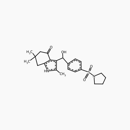 Cc1[nH]c2c(c1C(O)c1ccc(S(=O)(=O)N3CCCC3)cc1)C(=O)CC(C)(C)C2